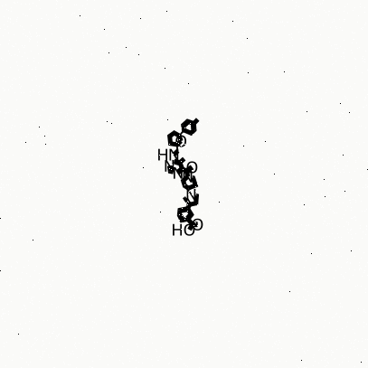 CC1=CCC([C@@H]2CCC[C@H](CNc3ncnc(C(=O)N4CCC(N5CCC(c6cccc(C(=O)O)c6)C5)CC4)c3C)O2)C=C1